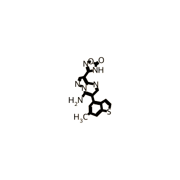 Cc1cc(-c2cnc3c(-c4noc(=O)[nH]4)cnn3c2N)c2ccsc2c1